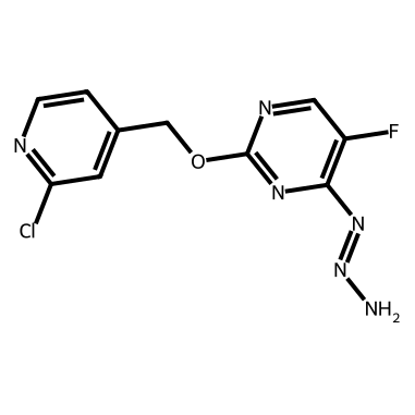 NN=Nc1nc(OCc2ccnc(Cl)c2)ncc1F